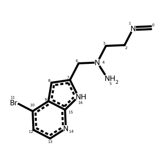 C=NCCN(N)Cc1cc2c(Br)ccnc2[nH]1